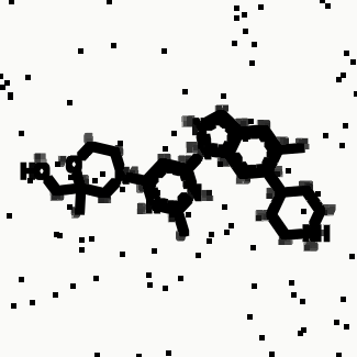 Cc1nc(N2CCOC(C)(CO)C2)cc(-n2ncc3cc(C)c(C4CCNCC4)cc32)n1